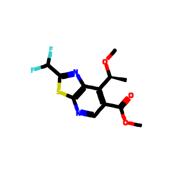 COC(=O)c1cnc2sc(C(F)F)nc2c1[C@H](C)OC